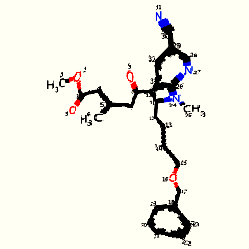 COC(=O)CC(C)CC(=O)c1c(CCCCOCc2ccccc2)n(C)c2ncc(C#N)cc12